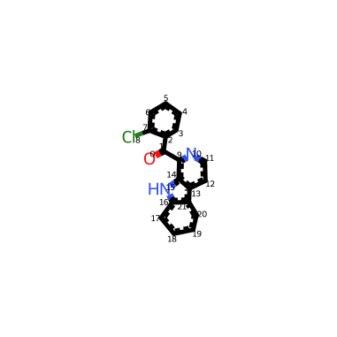 O=C(c1ccccc1Cl)c1nccc2c1[nH]c1ccccc12